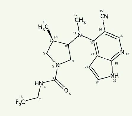 C[C@@H]1CN(C(=O)NCC(F)(F)F)CC1N(C)c1c(C#N)cnc2[nH]ccc12